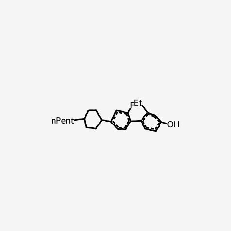 CCCCCC1CCC(c2ccc(-c3ccc(O)cc3CC)c(F)c2)CC1